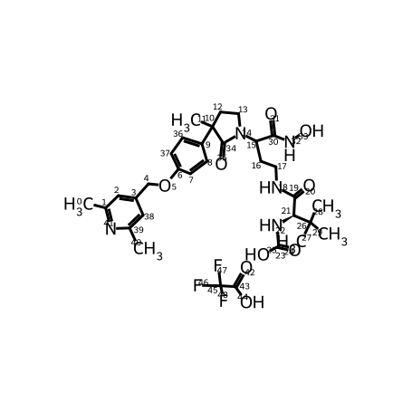 Cc1cc(COc2ccc(C3(C)CCN(C(CCNC(=O)[C@H](NC(=O)O)C(C)(C)C)C(=O)NO)C3=O)cc2)cc(C)n1.O=C(O)C(F)(F)F